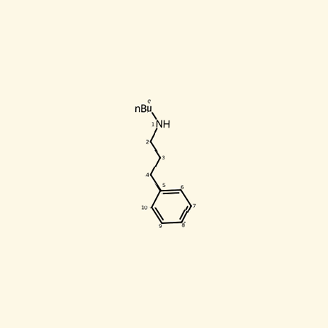 CCCCNCCCc1cc[c]cc1